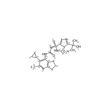 CC(C)(O)c1ncc(S(=O)(=NC(=O)Nc2c3c(nc(C(F)(F)F)c2C2CC2)CCC3)NC(=O)O)s1